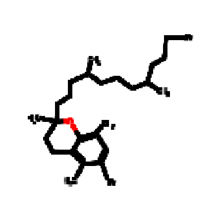 Cc1cc(C(C)C)c(C)c2c1OC(C)(CCCC(C)CCCC(C)CCCC(C)C)CC2